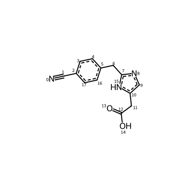 N#Cc1ccc(Cc2ncc(CC(=O)O)[nH]2)cc1